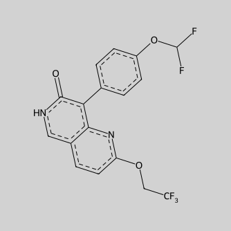 O=c1[nH]cc2ccc(OCC(F)(F)F)nc2c1-c1ccc(OC(F)F)cc1